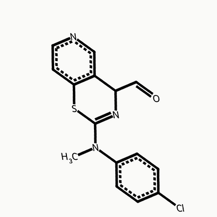 CN(C1=NC(C=O)c2cnccc2S1)c1ccc(Cl)cc1